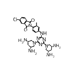 Cc1cc(Nc2nc(N3C[C@H](N)C[C@H](N)C3)nc(N3C[C@H](N)C[C@H](N)C3)n2)ccc1N1C(=O)c2ccc(Cl)cc2C1=O